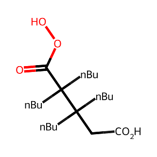 CCCCC(CCCC)(CC(=O)O)C(CCCC)(CCCC)C(=O)OO